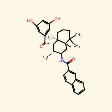 C[C@H]1[C@H](NC(=O)c2ccc3ccccc3c2)C[C@H]2C(C)(C)CCC[C@]2(C)[C@H]1C(=O)c1cc(O)cc(O)c1